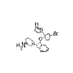 N[C@@H]1CCCN(C2Cc3ccccc3C2Oc2ccc(Br)cc2-c2cc[nH]n2)C1